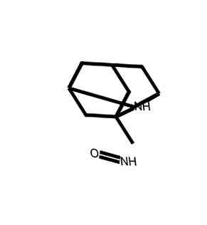 CC12CC3CC(CC(C3)N1)C2.N=O